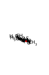 CC(C)(C)OC(=O)N1CCC(N2CCCN(Cc3c(F)cc(S(C)(=O)=O)cc3F)C2=O)CC1